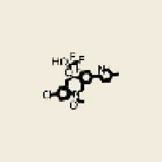 CC(=O)N1Cc2cc(-c3ccc(C)cn3)ccc2CCc2cc(Cl)ccc21.O=C(O)C(F)(F)F